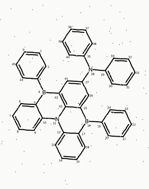 c1ccc(B2c3ccccc3N3c4ccccc4B(c4ccccc4)c4cc(N(c5ccccc5)c5ccccc5)cc2c43)cc1